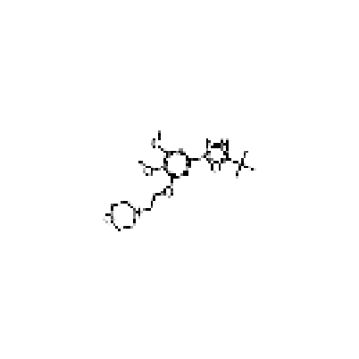 COc1cc(-c2nnc(C(C)(C)C)o2)cc(OCCN2CCOCC2)c1OC